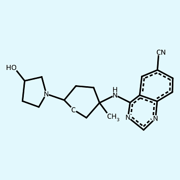 CC1(Nc2ncnc3ccc(C#N)cc23)CCC(N2CCC(O)C2)CC1